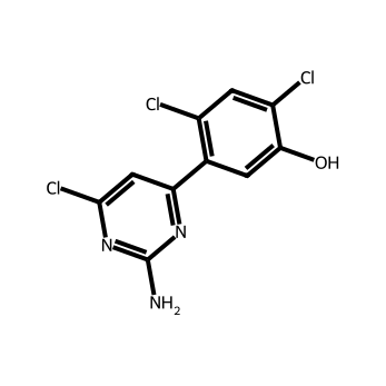 Nc1nc(Cl)cc(-c2cc(O)c(Cl)cc2Cl)n1